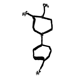 CC1=CC=C(N2CCN(C)C(C)C2)CC1